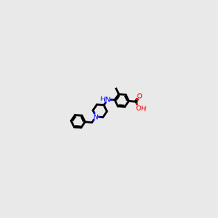 Cc1cc(C(=O)O)ccc1NC1CCN(Cc2ccccc2)CC1